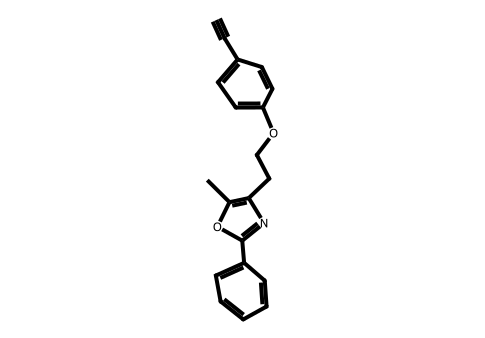 C#Cc1ccc(OCCc2nc(-c3ccccc3)oc2C)cc1